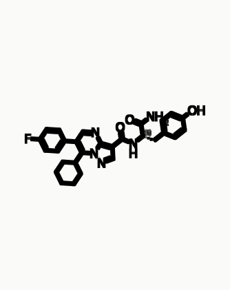 NC(=O)[C@H](Cc1ccc(O)cc1)NC(=O)c1cnn2c(C3CCCCC3)c(-c3ccc(F)cc3)cnc12